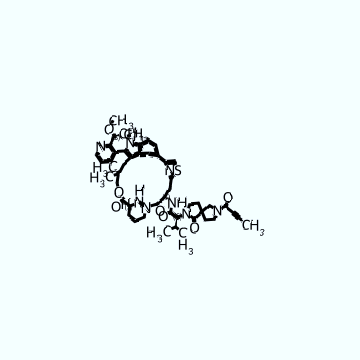 CC#CC(=O)N1CCC2(CCN([C@H](C(=O)N[C@H]3Cc4nc(cs4)-c4ccc5c(c4)c(c(-c4cccnc4[C@H](C)OC)n5C)CC(C)(C)COC(=O)[C@@H]4CCCN(N4)C3=O)C(C)C)C2=O)C1